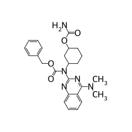 CN(C)c1nc(N(C(=O)OCc2ccccc2)C2CCCC(OC(N)=O)C2)nc2ccccc12